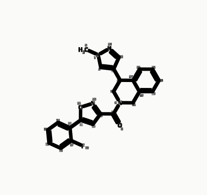 Cn1cc(C2CN(C(=O)c3cc(-c4ccccc4F)on3)Cc3ccccc32)cn1